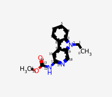 CCn1c2ccccc2c2cc(NC(=O)OC)ncc21